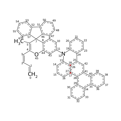 C=C/C=C\C1=C(C)C2(c3ccc(N(c4ccccc4)c4ccccc4-c4ccc5c6ccccc6c6ccccc6c5c4)cc3O1)c1ccccc1-c1ccccc12